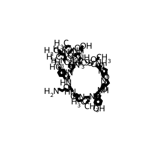 CC[C@H](C)[C@H](NC(=O)[C@H](CC(C)C)NC(=O)[C@H](CC(=O)O)NC(=O)[C@@H]1CSSC[C@H](NC(C)=O)C(=O)N2CCC[C@H]2C(=O)N2CCC[C@H]2C(=O)N[C@@H](Cc2ccc(O)cc2)C(=O)N[C@@H](CC(C)C)C(=O)N2CCC[C@H]2C(=O)N[C@@H](CCCCN)C(=O)N[C@@H](Cc2ccc(O)cc2)C(=O)N[C@@H](CC(C)C)C(=O)N1)C(N)=O